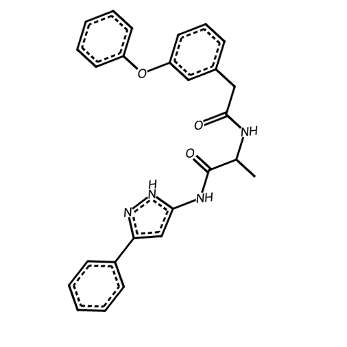 CC(NC(=O)Cc1cccc(Oc2ccccc2)c1)C(=O)Nc1cc(-c2ccccc2)n[nH]1